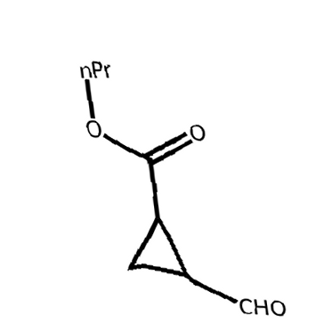 CCCOC(=O)C1CC1C=O